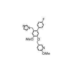 COc1ccc(COc2cc(-c3ccc(F)cc3)c(Cn3ccnc3)cc2OC)cn1